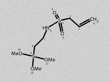 C=CCS(=O)(=O)NCC[Si](OC)(OC)OC